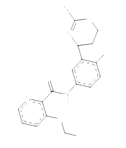 C[C@@]1(c2cc(NC(=O)c3ncccc3OCC(F)(F)F)ccc2F)CCOC(N)=N1